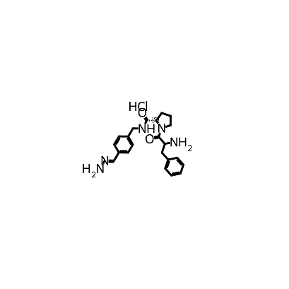 Cl.NN=Cc1ccc(CNC(=O)[C@@H]2CCCN2C(=O)C(N)Cc2ccccc2)cc1